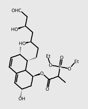 CCOP(=O)(OCC)C(C)C(=O)O[C@H]1C[C@H](O)C=C2C=C[C@H](C)[C@H](CC[C@@H](O)C[C@@H](O)CC=O)C21